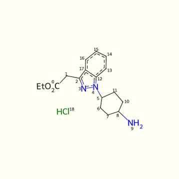 CCOC(=O)Cc1nn(C2CCC(N)CC2)c2ccccc12.Cl